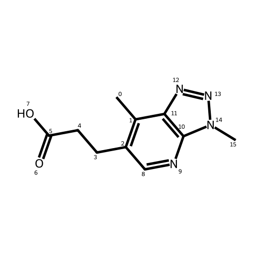 Cc1c(CCC(=O)O)cnc2c1nnn2C